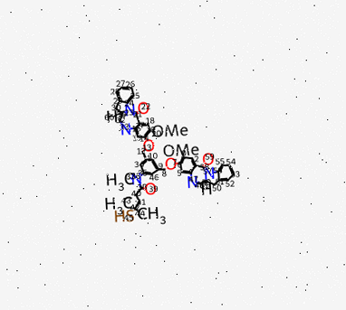 COc1cc2c(cc1OCc1cc(COc3cc4c(cc3OC)C(=O)N3c5ccccc5C[C@H]3C=N4)cc(N(C)C(=O)CCC(C)(C)S)c1)N=C[C@@H]1Cc3ccccc3N1C2=O